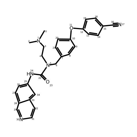 CN(C)CCN(Cc1ccc(Oc2ccc(C#N)cc2)cc1)C(=O)Nc1ccc2cnccc2c1